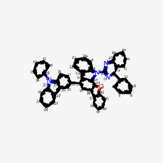 c1ccc(-c2nc(-n3c4ccccc4c4c(-c5ccc6c(c5)c5ccccc5n6-c5ccccc5)cc5c6ccccc6oc5c43)nc3ccccc23)cc1